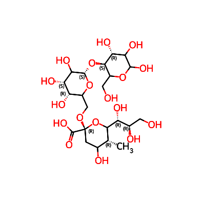 C[C@@H]1C(O)C[C@](OCC2O[C@@H](O[C@@H]3C(CO)OC(O)C(O)[C@H]3O)C(O)[C@@H](O)[C@H]2O)(C(=O)O)OC1[C@H](O)[C@H](O)CO